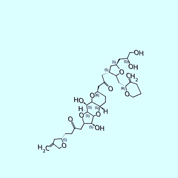 C=C1CO[C@@H](CCC(=O)CC2O[C@@H]3C(O[C@H]4CC[C@H](CC(=O)C[C@@H]5C[C@@H](C[C@H](O)CO)OC5C[C@H]5OCCCC5=C)OC4[C@@H]3O)[C@H]2O)C1